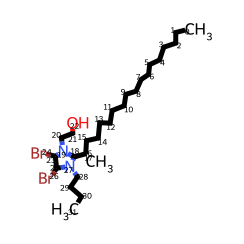 CCCCCCCCCCCCCCCCC(C)C1N(CCO)C(Br)C(Br)N1CCCC